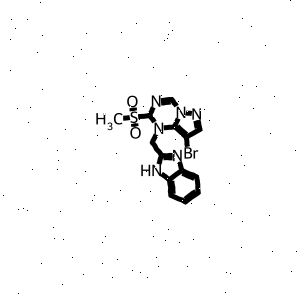 CS(=O)(=O)C1N=Cn2ncc(Br)c2N1Cc1nc2ccccc2[nH]1